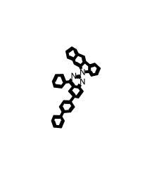 c1ccc(-c2ccc(-c3ccc4nc(-n5c6ccccc6c6cc7ccccc7cc65)nc(-c5ccccc5)c4c3)cc2)cc1